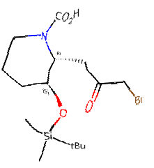 CC(C)(C)[Si](C)(C)O[C@H]1CCCN(C(=O)O)[C@@H]1CC(=O)CBr